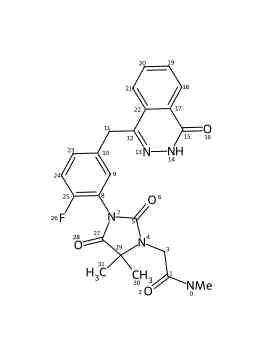 CNC(=O)CN1C(=O)N(c2cc(Cc3n[nH]c(=O)c4ccccc34)ccc2F)C(=O)C1(C)C